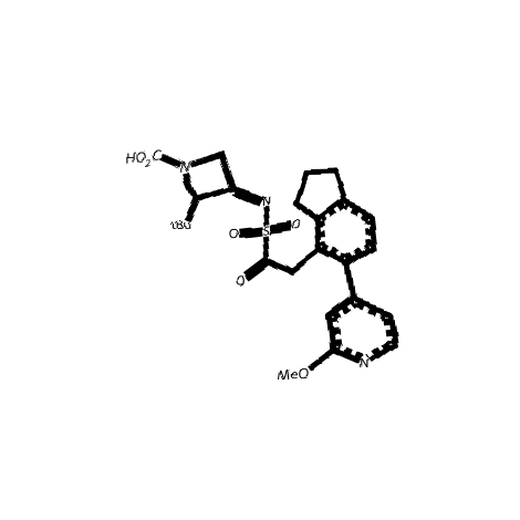 COc1cc(-c2ccc3c(c2CC(=O)S(=O)(=O)N=C2CN(C(=O)O)C2C(C)(C)C)CCC3)ccn1